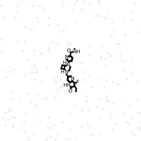 CCc1c(F)c2ncc(CN3CCN(c4ccc(C(=O)NC)nc4)[C@H]4CC[C@@H]43)cc2[nH]c1=O